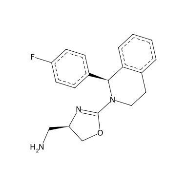 NC[C@@H]1COC(N2CCc3ccccc3[C@@H]2c2ccc(F)cc2)=N1